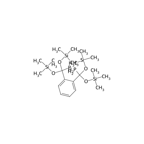 C[Si](C)(C)OC(P)(O[Si](C)(C)C)c1ccccc1C(P)(O[Si](C)(C)C)O[Si](C)(C)C